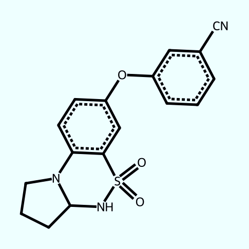 N#Cc1cccc(Oc2ccc3c(c2)S(=O)(=O)NC2CCCN32)c1